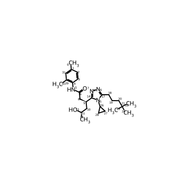 Cc1ccc(NC(=O)C[C@H](C[C@@H](C)O)c2nnc(CCCC(C)(C)C)n2C2CC2)c(C)c1